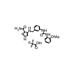 COc1ccccc1NC(=O)Nc1cccc(CNc2c[nH]nc2C(N)=O)c1.O=C(O)C(F)(F)F